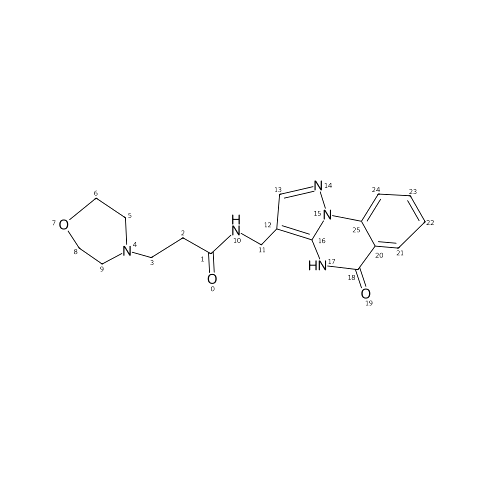 O=C(CCN1CCOCC1)NCc1cnn2c1[nH]c(=O)c1ccccc12